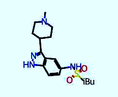 CCC(C)S(=O)(=O)Nc1ccc2[nH]nc(C3CCN(C)CC3)c2c1